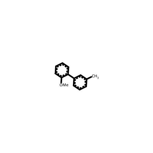 COc1[c]cccc1-c1cccc(C)c1